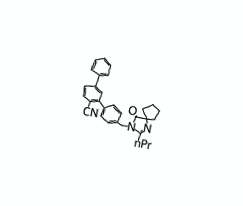 CCCC1=NC2(CCCC2)C(=O)N1Cc1ccc(-c2cc(-c3ccccc3)ccc2C#N)cc1